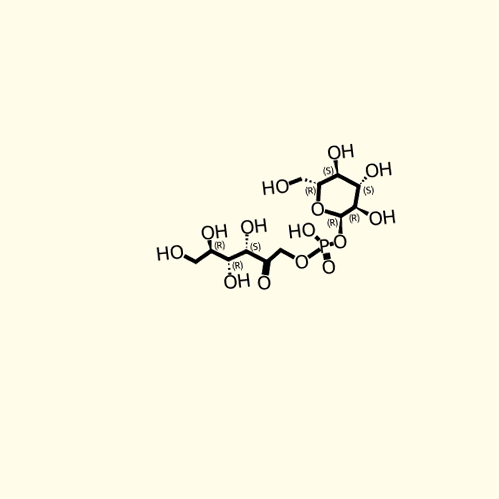 O=C(COP(=O)(O)O[C@H]1O[C@H](CO)[C@@H](O)[C@H](O)[C@H]1O)[C@@H](O)[C@H](O)[C@H](O)CO